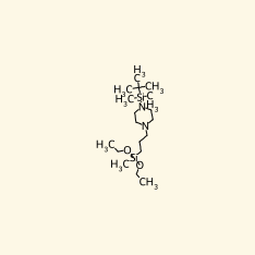 CCO[Si](C)(CCCN1CCN([Si](C)(C)C(C)(C)C)CC1)OCC